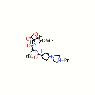 CO[C@H]1CN(C(=O)[C@H](CC(C)(C)C)NC(=O)c2ccc(N3CCN(C(C)C)CC3)cc2)[C@@H]2C(=O)CO[C@H]12